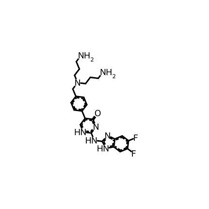 NCCCN(CCCN)Cc1ccc(-c2c[nH]c(Nc3nc4cc(F)c(F)cc4[nH]3)nc2=O)cc1